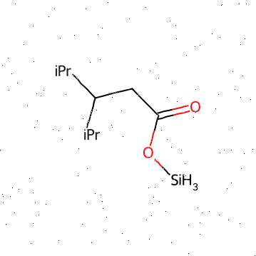 CC(C)C(CC(=O)O[SiH3])C(C)C